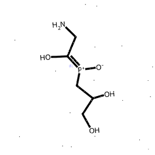 NC/C(O)=[P+](\[O-])CC(O)CO